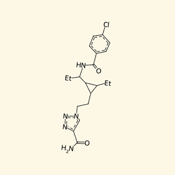 CCC(NC(=O)c1ccc(Cl)cc1)C1C(CC)C1CCn1cc(C(N)=O)nn1